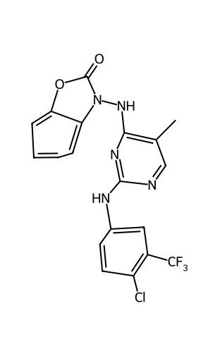 Cc1cnc(Nc2ccc(Cl)c(C(F)(F)F)c2)nc1Nn1c(=O)oc2ccccc21